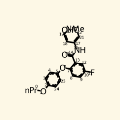 CCCOc1ccc(Oc2ccc(F)cc2C(=O)NC(/C=C\NC)=C/C=O)cc1